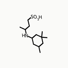 CC1CC(NC(C)CCS(=O)(=O)O)CC(C)(C)C1